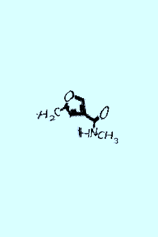 [CH2]c1cc(C(=O)NC)co1